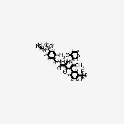 Cc1ccncc1-n1cc(C(=O)NCc2ccc(S(C)(=O)=NC#N)cc2)c(=O)c(-c2cccc(C(F)(F)F)c2)c1C